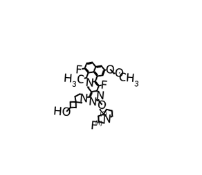 CCc1c(F)ccc2cc(OCOC)cc(-c3ncc4c(N5CCC6(CC(O)C6)C5)nc(OC[C@@]56CCCN5C[C@H](F)C6)nc4c3F)c12